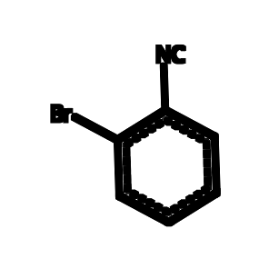 [C-]#[N+]c1ccccc1Br